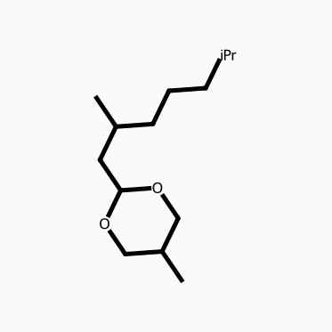 CC(C)CCCC(C)CC1OCC(C)CO1